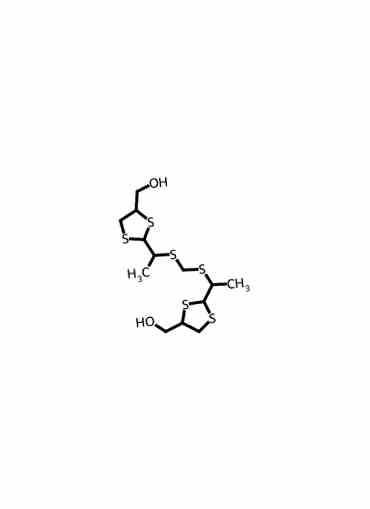 CC(SCSC(C)C1SCC(CO)S1)C1SCC(CO)S1